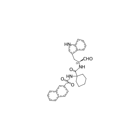 O=C[C@H](Cc1c[nH]c2ccccc12)NC(=O)C1(NS(=O)(=O)c2ccc3ccccc3c2)CCCCC1